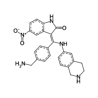 NCc1ccc(C(Nc2ccc3c(c2)CCNC3)=C2C(=O)Nc3ccc([N+](=O)[O-])cc32)cc1